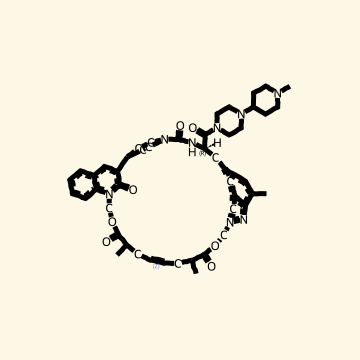 Cc1cc2cc3cn(nc13)COC(=O)C(C)C/C=C\CC(C)C(=O)OCn1c(=O)c(cc3ccccc31)C1CCN(CC1)C(=O)N[C@@H](C(=O)N1CCN(C3CCN(C)CC3)CC1)C2